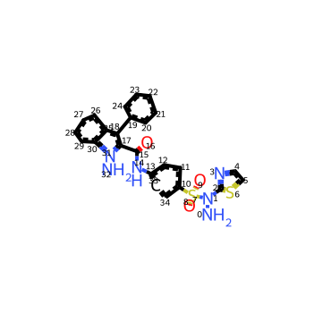 NN(c1nccs1)S(=O)(=O)c1ccc(NC(=O)c2c(-c3ccccc3)c3ccccc3n2N)cc1